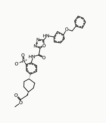 COC(=O)C[C@H]1CC[C@H](c2ccc(NC(=O)c3nnc(Nc4cccc(OCc5ccccc5)c4)o3)c([N+](=O)[O-])c2)CC1